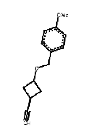 C#CC1CC(OCc2ccc(OC)cc2)C1